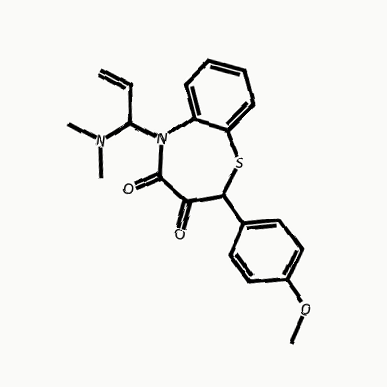 C=CC(N(C)C)N1C(=O)C(=O)C(c2ccc(OC)cc2)Sc2ccccc21